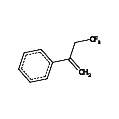 C=C(CC(F)(F)F)c1ccccc1